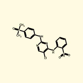 CP(C)(=O)c1ccc(Nc2ncc(Cl)c(Nc3ccccc3[SH](=O)=O)n2)cc1